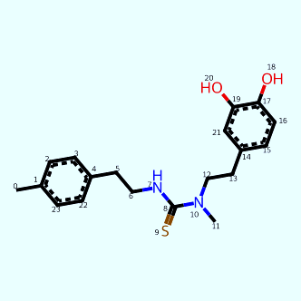 Cc1ccc(CCNC(=S)N(C)CCc2ccc(O)c(O)c2)cc1